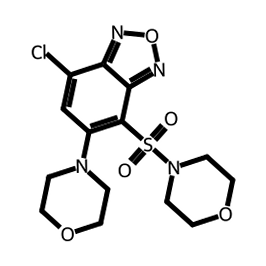 O=S(=O)(c1c(N2CCOCC2)cc(Cl)c2nonc12)N1CCOCC1